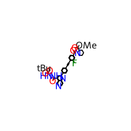 COC(=O)C1CCCCN1C(=O)c1ccc(C#Cc2ccc(-c3cc(C(=O)NNC(=O)OC(C)(C)C)c4cnccc4n3)cc2)c(F)c1